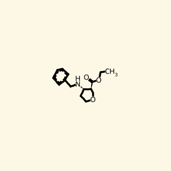 CCOC(=O)[C@H]1COCC[C@@H]1NCc1ccccc1